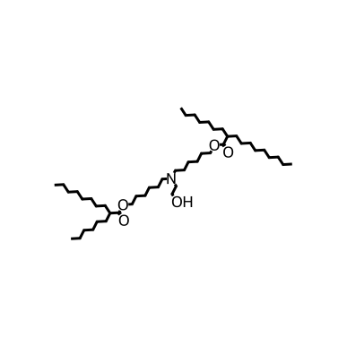 CCCCCCCCCC(CCCCCCC)C(=O)OCCCCCCN(CCO)CCCCCCOC(=O)C(CCCCCC)CCCCCCCC